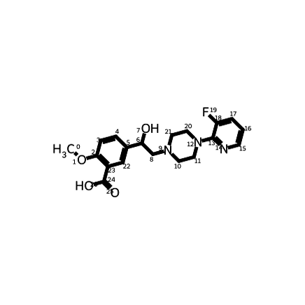 COc1ccc(C(O)CN2CCN(c3ncccc3F)CC2)cc1C(=O)O